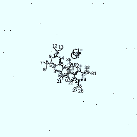 CCC1=Cc2c(C(C)C)cc(C(C)C)cc2[CH]1[Zr+2]1([CH]2C(CC)=Cc3c(C(C)C)cc(C(C)C)cc32)[CH2][CH2]1.[Cl-].[Cl-]